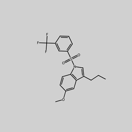 CCCc1cn(S(=O)(=O)c2cccc(C(F)(F)F)c2)c2ccc(OC)cc12